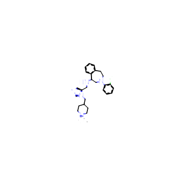 N#CN1CCC(Cn2cncc2CNC2CN(c3ccccc3Cl)CCc3ccccc32)CC1